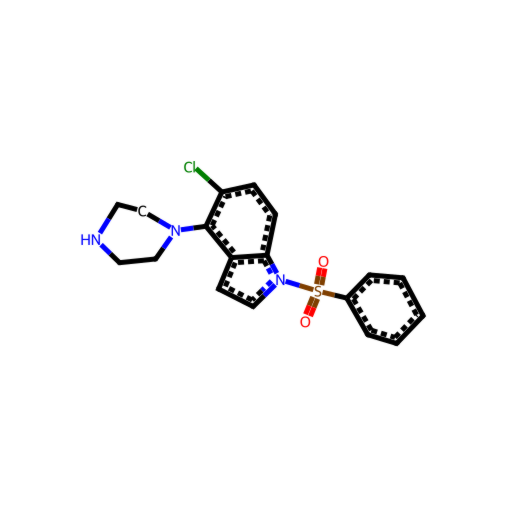 O=S(=O)(c1ccccc1)n1ccc2c(N3CCNCC3)c(Cl)ccc21